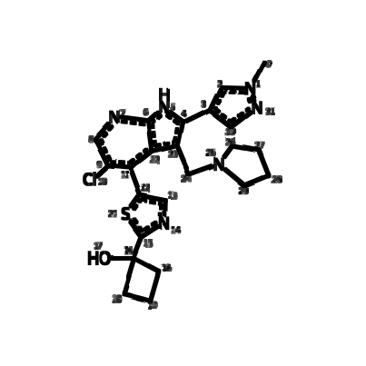 Cn1cc(-c2[nH]c3ncc(Cl)c(-c4cnc(C5(O)CCC5)s4)c3c2CN2CCCC2)cn1